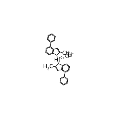 CC1=Cc2c(-c3ccccc3)cccc2[CH]1[Hf+2][CH]1C(C)=Cc2c(-c3ccccc3)cccc21.[Cl-].[Cl-]